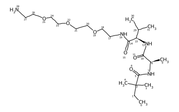 CCC(C)(C)C(=O)N[C@H](C)C(=O)N[C@@H](C(=O)NCCOCCOCCOCCN)C(C)C